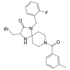 Cc1cccc(C(=O)N2CCC3(CC2)NC(CC(C)C)C(=O)N3Cc2ccccc2F)c1